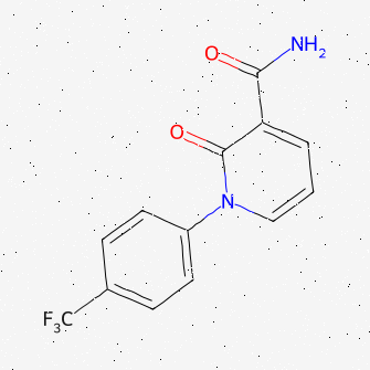 NC(=O)c1cccn(-c2ccc(C(F)(F)F)cc2)c1=O